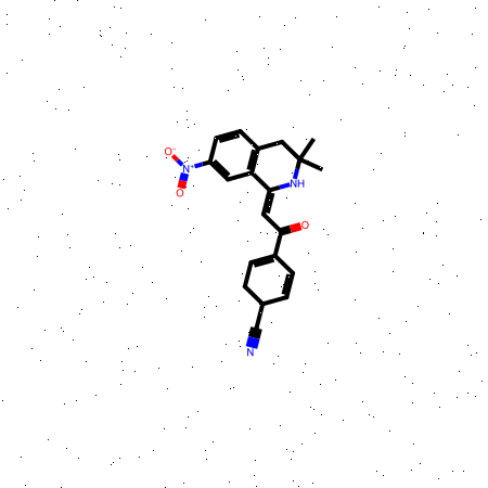 CC1(C)Cc2ccc([N+](=O)[O-])cc2/C(=C/C(=O)C2=CCC(C#N)C=C2)N1